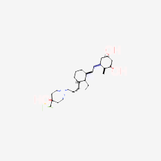 C=C1/C(=C\C=C2/CCC[C@@]3(C)C2CC[C@@H]3[C@H](C)CN2CCC(O)(C(F)F)CC2)C[C@@H](O)C[C@@H]1O